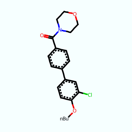 CCCCOc1ccc(-c2ccc(C(=O)N3CCOCC3)cc2)cc1Cl